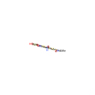 CSCC/N=C/[S+]([O-])CCSCSCCSC(=O)NCCSCSCC/N=C/OOCSCSCO